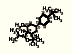 CC(C)N1OC(C)(C)[C@@H]2C[C@H](c3ccc(C(C)(C)C)cc3)C[C@H](C)[C@H]21